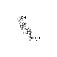 CC(C)(CO)CCCC1CCC(CCC2CCC(CCCC(C)(C)C(=O)O)C2O)C1O